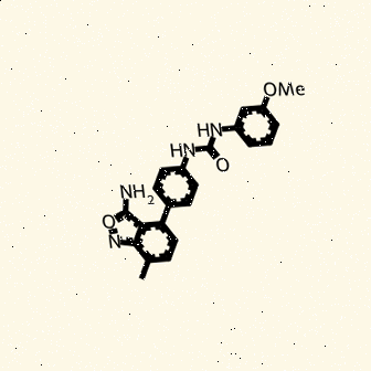 COc1cccc(NC(=O)Nc2ccc(-c3ccc(C)c4noc(N)c34)cc2)c1